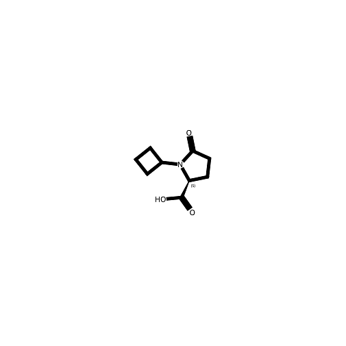 O=C(O)[C@@H]1CCC(=O)N1C1CCC1